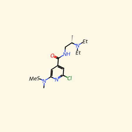 CCN(CC)[C@@H](C)CNC(=O)c1cc(Cl)nc(N(C)SC)c1